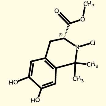 COC(=O)[C@H]1Cc2cc(O)c(O)cc2C(C)(C)N1Cl